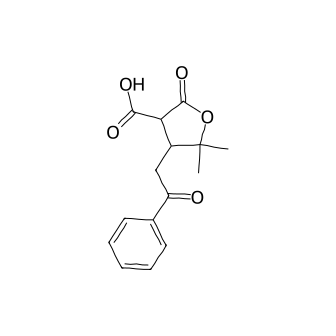 CC1(C)OC(=O)C(C(=O)O)C1CC(=O)c1ccccc1